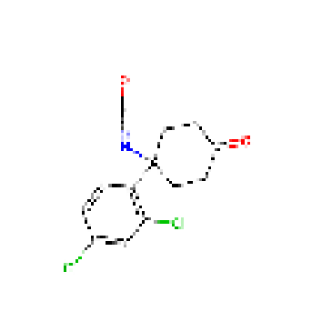 O=C=NC1(c2ccc(Cl)cc2Cl)CCC(=O)CC1